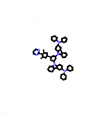 Cc1cc(-c2cc(-n3c4ccccc4c4cc(N(c5ccccc5)c5ccccc5)ccc43)cc(-n3c4ccccc4c4cc(N(c5ccccc5)c5ccccc5)ccc43)c2)cc(C)c1-c1ncccn1